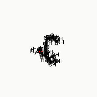 CC(C)(C)[Si](F)(c1ccc(C(=O)NCC(NC(=O)CCC(C(=O)O)N2CCN(CC(=O)O)CCN(CC(=O)O)CCN(CC(=O)O)CC2)C(=O)NC(CCCCNC(=O)CCC(=O)NCCCC(NC(=O)CC[C@H](NC(=O)N[C@@H](CCC(=O)O)C(=O)O)C(=O)O)C(=O)O)C(=O)O)cc1)C(C)(C)C